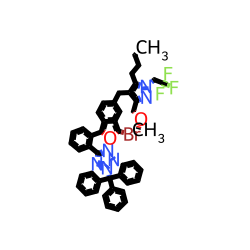 CCCCc1c(Cc2ccc3c(-c4ccccc4-c4nnn(C(c5ccccc5)(c5ccccc5)c5ccccc5)n4)oc(Br)c3c2)c(COC)nn1CC(F)(F)F